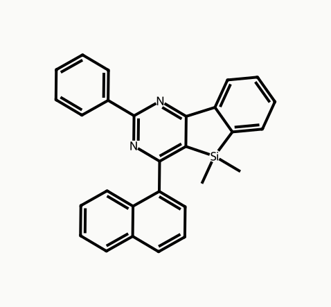 C[Si]1(C)c2ccccc2-c2nc(-c3ccccc3)nc(-c3cccc4ccccc34)c21